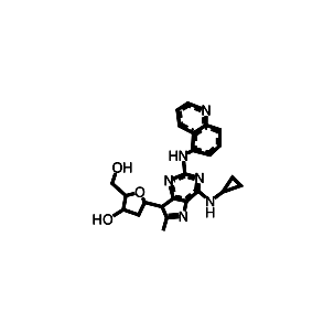 CC1=Nc2c(NC3CC3)nc(Nc3cccc4ncccc34)nc2C1C1CC(O)C(CO)O1